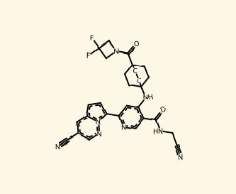 N#CCNC(=O)c1cnc(-c2ccc3cc(C#N)cnn23)cc1NC12CCC(C(=O)N3CC(F)(F)C3)(CC1)CC2